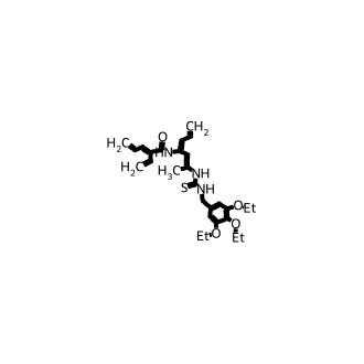 C=C/C=C(\C=C(/C)NC(=S)NCc1cc(OCC)c(OCC)c(OCC)c1)NC(=O)/C(C=C)=C/C=C